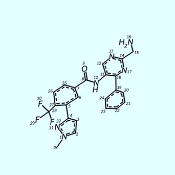 Cn1ccc(-c2cc(C(=O)Nc3cnc(CN)nc3-c3ccccc3)ccc2C(F)(F)F)n1